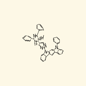 c1ccc(C2=NC(c3ccccc3)NC(c3cnc(-n4c5ccccc5c5cc6c7ccccc7n(-c7ccccc7)c6cc54)nc3)N2)cc1